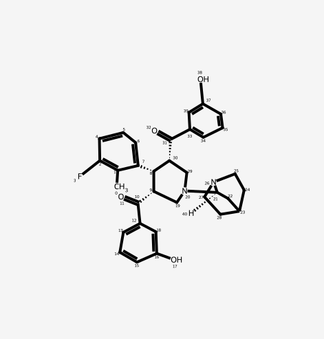 Cc1c(F)cccc1[C@H]1[C@@H](C(=O)c2cccc(O)c2)CN([C@@H]2CC3CCN2CC3)C[C@H]1C(=O)c1cccc(O)c1